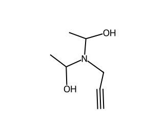 C#CCN(C(C)O)C(C)O